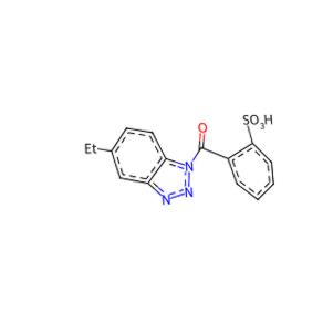 CCc1ccc2c(c1)nnn2C(=O)c1ccccc1S(=O)(=O)O